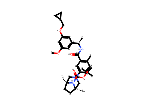 COc1cc(OCC2CC2)cc([C@@H](C)NC(=O)c2cc(N3C[C@H]4CC[C@@H](C3)N4C(=O)OC(C)(C)C)ccc2C)c1